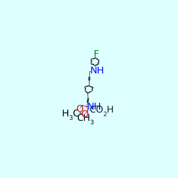 CC1(C)OCC(C#Cc2ccc(C#CCNc3ccc(F)cc3)cc2)(NC(=O)O)CO1